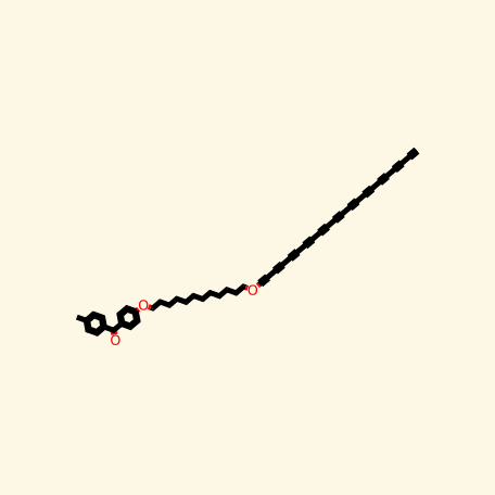 C#CC#CC#CC#CC#CC#CC#CC#CC#CC#CC#COCCCCCCCCCCCCOc1ccc(C(=O)c2ccc(C)cc2)cc1